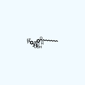 CCCCCCCCCCCCNC(=O)c1ccc(C(C)N(C(=O)C(=O)O)C(CC)c2ccc(C(F)(F)F)cc2)cc1